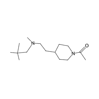 CC(=O)N1CCC(CCN(C)CC(C)(C)C)CC1